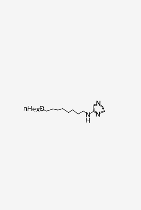 CCCCCCOCCCCCCCCNc1cnccn1